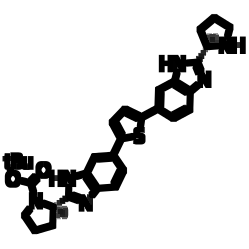 CC(C)(C)OC(=O)N1CCC[C@H]1c1nc2ccc(-c3ccc(-c4ccc5nc([C@@H]6CCCN6)[nH]c5c4)s3)cc2[nH]1